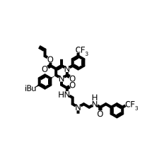 C=CCOC(=O)C1=C(C)N(c2cccc(C(F)(F)F)c2)C(=O)N(CC(=O)NCCN(C)CCNC(=O)Cc2cccc(C(F)(F)F)c2)[C@@H]1c1ccc([C@H](C)CC)cc1